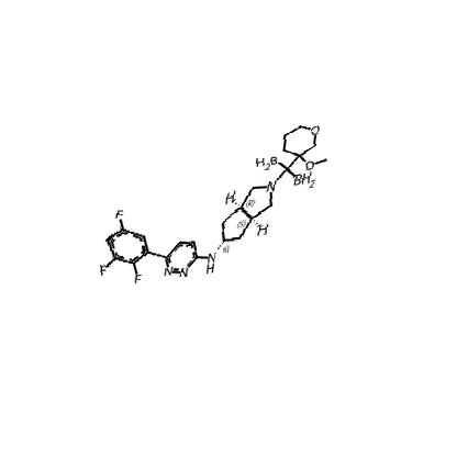 BC(B)(N1C[C@H]2C[C@H](Nc3ccc(-c4cc(F)cc(F)c4F)nn3)C[C@H]2C1)C1(OC)CCCOC1